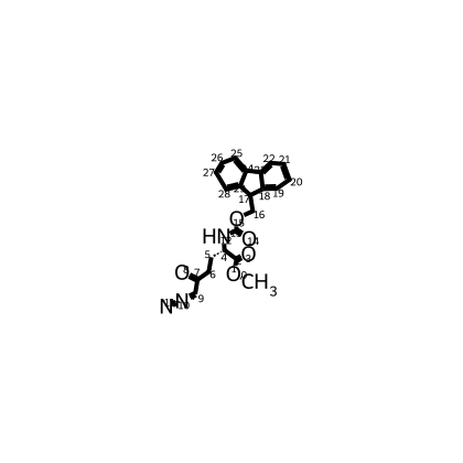 COC(=O)[C@H](CCC(=O)C=[N+]=[N-])NC(=O)OCC1c2ccccc2-c2ccccc21